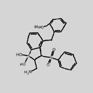 COc1ccccc1Cc1cccc2c1C(S(=O)(=O)c1ccccc1)C(CN)S2(O)O